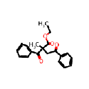 CCOC(=O)C(C)(CC(=O)c1ccccc1)C(=O)c1ccccc1